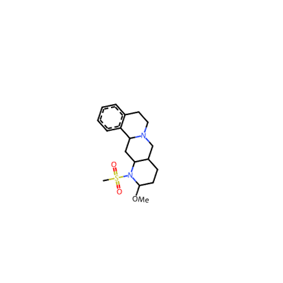 COC1CCC2CN3CCc4ccccc4C3CC2N1S(C)(=O)=O